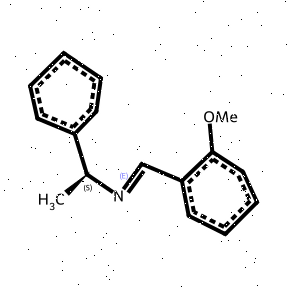 COc1ccccc1/C=N/[C@@H](C)c1ccccc1